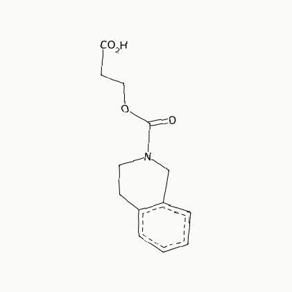 O=C(O)CCOC(=O)N1CCc2ccccc2C1